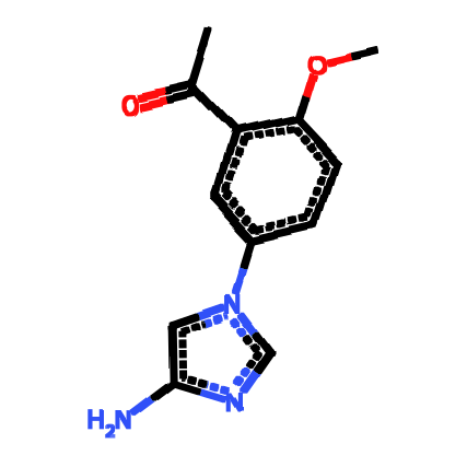 COc1ccc(-n2cnc(N)c2)cc1C(C)=O